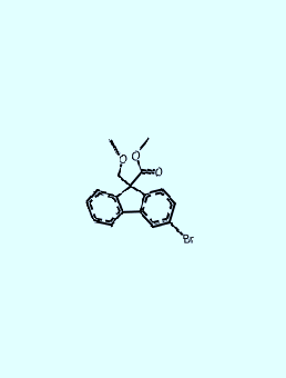 COCC1(C(=O)OC)c2ccccc2-c2cc(Br)ccc21